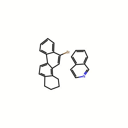 Brc1cc2c3c(ccc2c2ccccc12)CCCC3.c1ccc2cnccc2c1